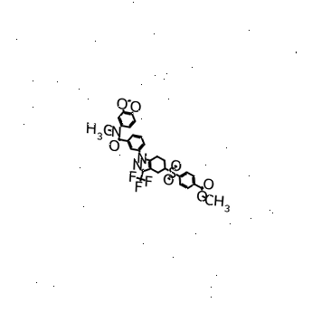 COC(=O)c1ccc(S(=O)(=O)C2CCc3c(c(C(F)(F)F)nn3-c3cccc(C(=O)N(C)c4ccc5c(c4)OCO5)c3)C2)cc1